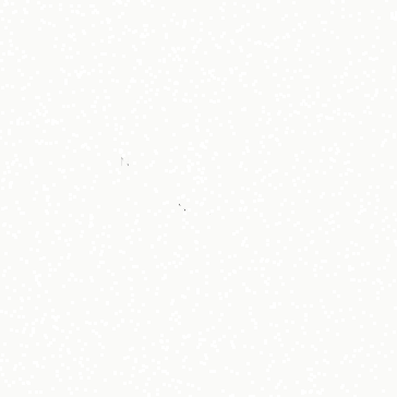 CCc1ccc(N2CCC(N(C)C)C2)cc1